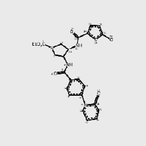 CCOC(=O)N1CC(NC(=O)c2ccc(-n3ccccc3=O)cc2)[C@H](NC(=O)c2ccc(Cl)s2)C1